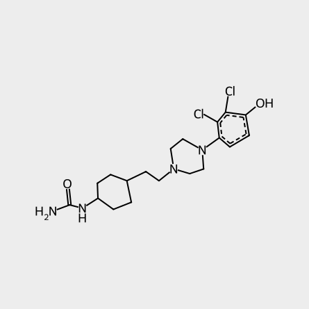 NC(=O)NC1CCC(CCN2CCN(c3ccc(O)c(Cl)c3Cl)CC2)CC1